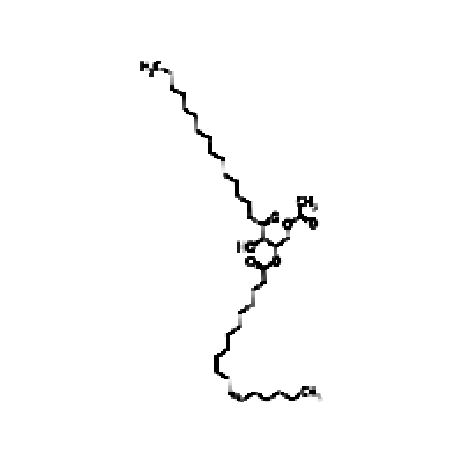 CCCCC/C=C\C/C=C\CCCCCCCC(=O)OC(COC(C)=O)C(O)C(=O)CCCCCCCCCCCCCCC